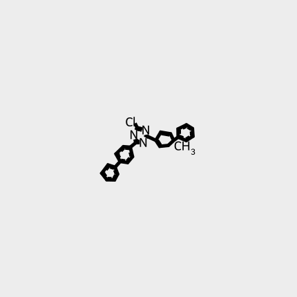 CC1(c2ccccc2)C=CC(c2nc(Cl)nc(-c3ccc(-c4ccccc4)cc3)n2)=CC1